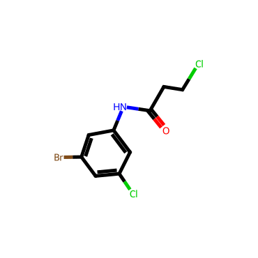 O=C(CCCl)Nc1cc(Cl)cc(Br)c1